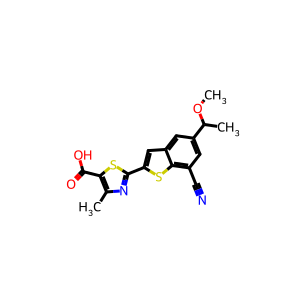 COC(C)c1cc(C#N)c2sc(-c3nc(C)c(C(=O)O)s3)cc2c1